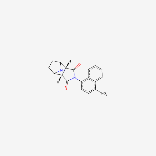 O=C1[C@@H]2C3CCC(N3)[C@@H]2C(=O)N1c1ccc([N+](=O)[O-])c2ccccc12